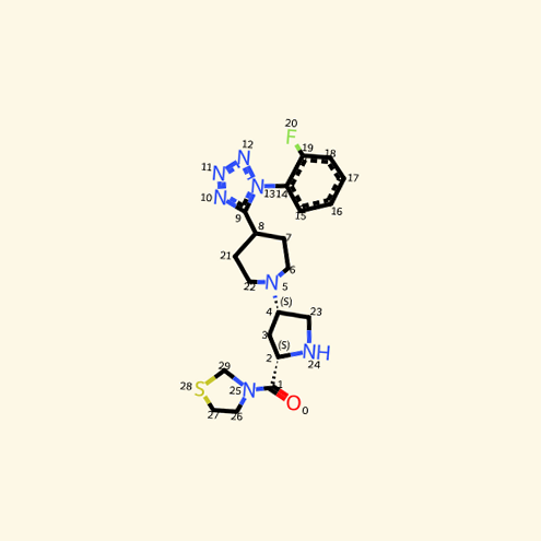 O=C([C@@H]1C[C@H](N2CCC(c3nnnn3-c3ccccc3F)CC2)CN1)N1CCSC1